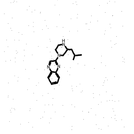 CC(C)CC1CN(c2cnc3ccccc3n2)CCN1